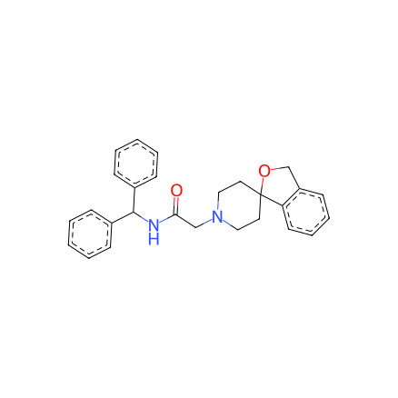 O=C(CN1CCC2(CC1)OCc1ccccc12)NC(c1ccccc1)c1ccccc1